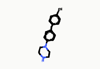 N#Cc1ccc(-c2ccc(N3CCNCC3)cc2)cc1